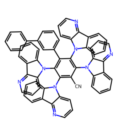 N#Cc1c(-n2c3ccccc3c3ncccc32)c(-n2c3ccccc3c3ncccc32)c(-c2cccc(-c3ccccc3)c2)c(-n2c3ccccc3c3ncccc32)c1-n1c2ccccc2c2ncccc21